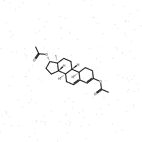 CC(=O)OC1=CC2=CC[C@@H]3[C@H](CC[C@]4(C)[C@@H](OC(C)=O)CC[C@@H]34)[C@H]2CC1